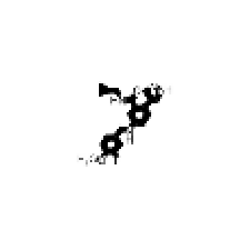 COc1ccc(CNc2ccc(-c3cn[nH]c3)c(C(=O)NCC3CC3)c2)cc1F